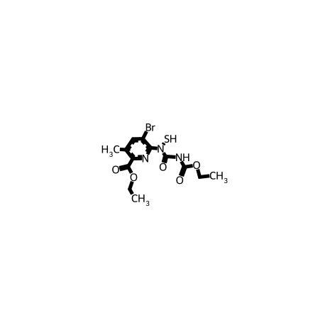 CCOC(=O)NC(=O)N(S)c1nc(C(=O)OCC)c(C)cc1Br